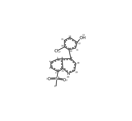 CS(=O)(=O)c1cccc2c(-c3cc(O)ccc3Cl)ccnc12